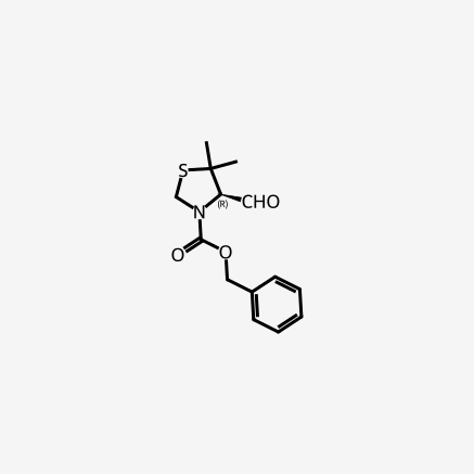 CC1(C)SCN(C(=O)OCc2ccccc2)[C@@H]1C=O